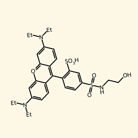 CCN(CC)c1ccc2c(-c3ccc(S(=O)(=O)NCCO)cc3S(=O)(=O)O)c3ccc(N(CC)CC)cc3[o+]c2c1